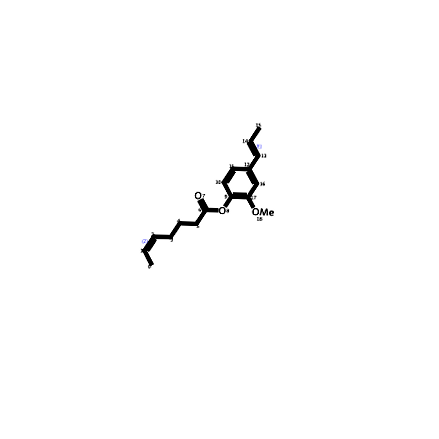 C/C=C\CCCC(=O)Oc1ccc(/C=C/C)cc1OC